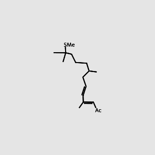 CSC(C)(C)CCCC(C)CC=CC(C)=CC(C)=O